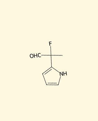 CC(F)(C=O)c1ccc[nH]1